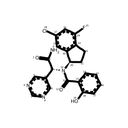 NC(=O)[C@@H](c1cncnc1)N(C(=O)c1ccccc1O)[C@@H]1CCc2c(F)cc(Cl)cc21